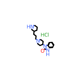 Cl.O=c1[nH]c2ccccc2n1C1CCN(CCCC2CCCNC2)CC1